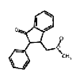 C[S+]([O-])CC1c2ccccc2C(=O)C1c1ccccc1